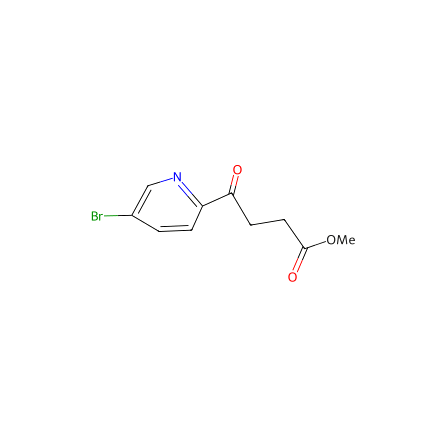 COC(=O)CCC(=O)c1ccc(Br)cn1